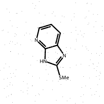 CSc1nc2cc[c]nc2[nH]1